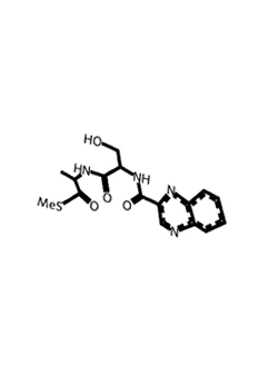 CSC(=O)C(C)NC(=O)C(CO)NC(=O)c1cnc2ccccc2n1